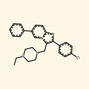 CCN1CCN(Cc2c(-c3ccc(Cl)cc3)nc3ccc(-c4ccccc4)cn23)CC1